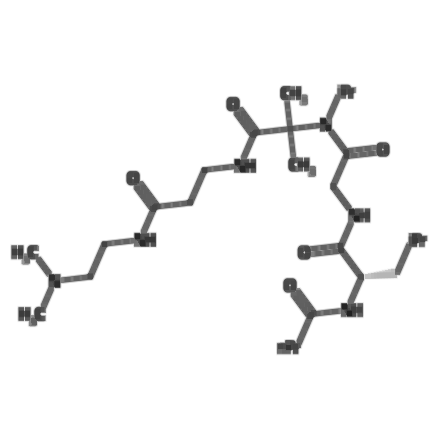 CCCC(=O)N[C@@H](CC(C)C)C(=O)NCC(=O)N(C(C)C)C(C)(C)C(=O)NCCC(=O)NCCN(C)C